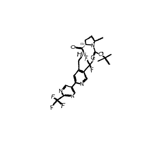 CC1CC[C@@H](C(=O)NCc2cc(-c3cnc(C(F)(F)F)nc3)ncc2C(F)(F)F)N1C(=O)OC(C)(C)C